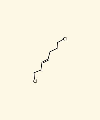 ClCC/C=C/CCCCl